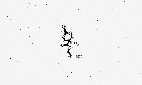 CCCCCCCCOC(=O)C1(C)COC(=O)OC1